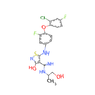 CC(CO)NC(=N)c1c(O)nsc1Nc1ccc(Oc2ccc(F)cc2Cl)c(F)c1